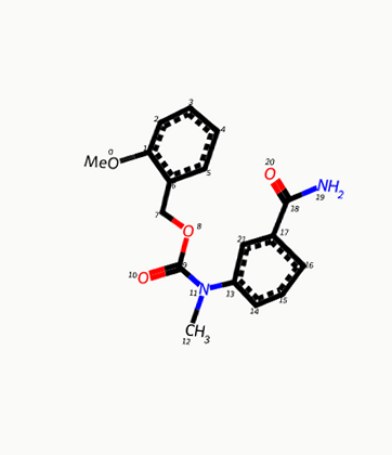 COc1ccccc1COC(=O)N(C)c1cccc(C(N)=O)c1